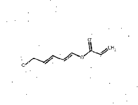 C=CC(=O)OC=CC=CCCl